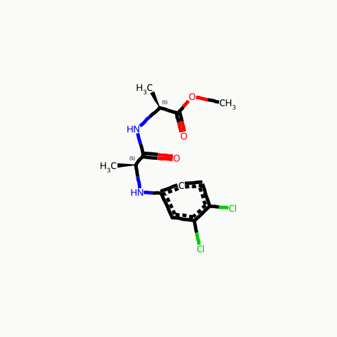 COC(=O)[C@H](C)NC(=O)[C@H](C)Nc1ccc(Cl)c(Cl)c1